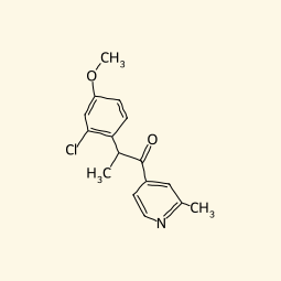 COc1ccc(C(C)C(=O)c2ccnc(C)c2)c(Cl)c1